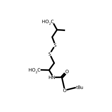 CC(CSSCC(NC(=O)OC(C)(C)C)C(=O)O)C(=O)O